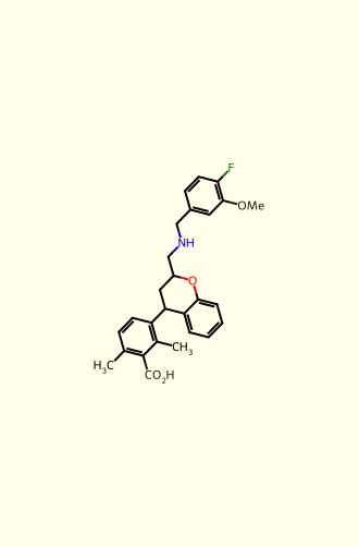 COc1cc(CNCC2CC(c3ccc(C)c(C(=O)O)c3C)c3ccccc3O2)ccc1F